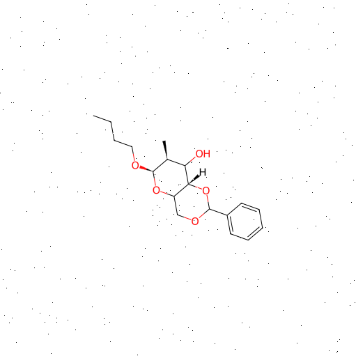 CCCCO[C@@H]1OC2COC(c3ccccc3)O[C@H]2C(O)[C@@H]1C